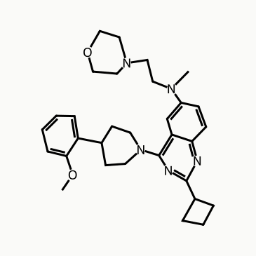 COc1ccccc1C1CCN(c2nc(C3CCC3)nc3ccc(N(C)CCN4CCOCC4)cc23)CC1